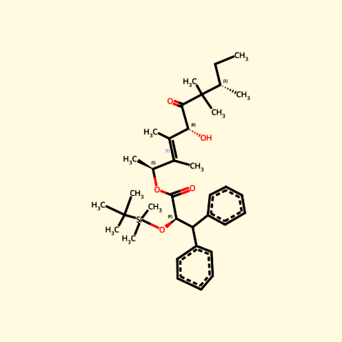 CC[C@H](C)C(C)(C)C(=O)[C@H](O)/C(C)=C(\C)[C@H](C)OC(=O)[C@H](O[Si](C)(C)C(C)(C)C)C(c1ccccc1)c1ccccc1